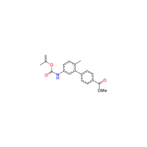 C=C(C)OC(=O)Nc1ccc(C)c(-c2ccc(C(=O)OC)cc2)c1